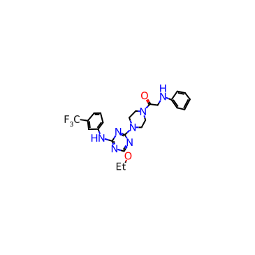 CCOc1nc(Nc2cccc(C(F)(F)F)c2)nc(N2CCN(C(=O)CNc3ccccc3)CC2)n1